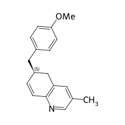 COc1ccc(C[C@@H]2C=Cc3ncc(C)cc3C2)cc1